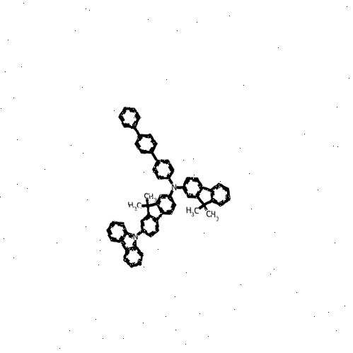 CC1(C)c2ccccc2-c2ccc(N(c3ccc(-c4ccc(-c5ccccc5)cc4)cc3)c3ccc4c(c3)C(C)(C)c3cc(-n5c6ccccc6c6ccccc65)ccc3-4)cc21